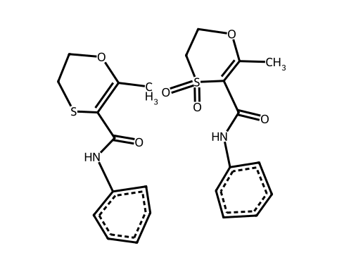 CC1=C(C(=O)Nc2ccccc2)S(=O)(=O)CCO1.CC1=C(C(=O)Nc2ccccc2)SCCO1